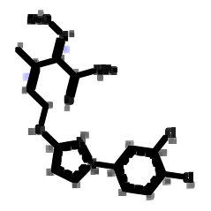 CNC(=O)C(=N/OC)/C(C)=C\COc1ccn(-c2ccc(Cl)c(Cl)c2)n1